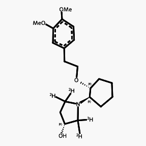 [2H]C1([2H])C[C@@H](O)C([2H])([2H])N1[C@@H]1CCCC[C@H]1OCCc1ccc(OC)c(OC)c1